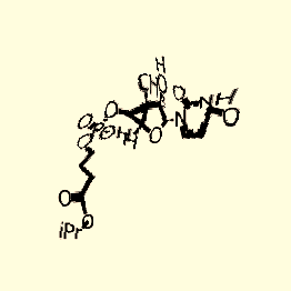 CC(C)OC(=O)CCCO[P@](=O)(O)OC1[C@H]2O[C@@H](n3ccc(=O)[nH]c3=O)[C@H](O)[C@@]12C